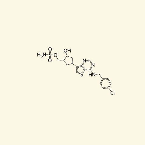 NS(=O)(=O)OCC1CC(c2csc3c(NCc4ccc(Cl)cc4)ncnc23)CC1O